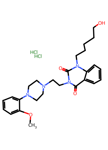 COc1ccccc1N1CCN(CCn2c(=O)c3ccccc3n(CCCCCO)c2=O)CC1.Cl.Cl